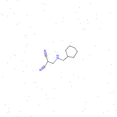 N#CC(C#N)CNCC1CCCCC1